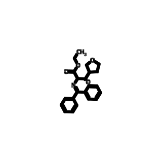 CCOC(=O)C(N=C(c1ccccc1)c1ccccc1)C(=O)C1CCOC1